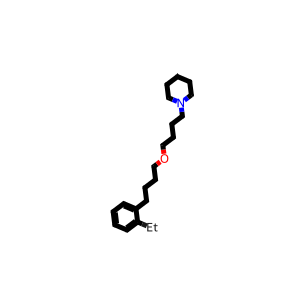 CCc1ccccc1CCCCOCCCCN1CC[CH]CC1